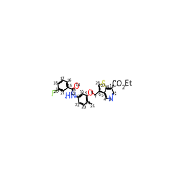 CCOC(=O)c1cncc2c(COc3cc(NC(=O)c4cccc(F)c4)ccc3C)csc12